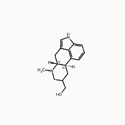 CN1CC(CO)C[C@@H]2c3cccc4[nH]cc(c34)C[C@H]21